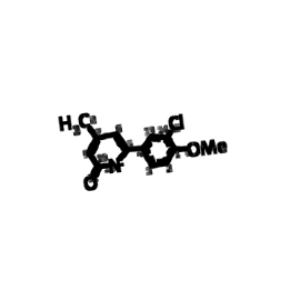 COc1ccc(C2=CC(C)=CC(=O)[N]2)cc1Cl